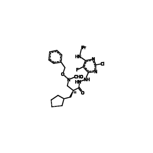 CC(C)Nc1nc(Cl)nc(NNC(=O)[C@@H](CC2CCCC2)CN(C=O)OCc2ccccc2)c1F